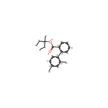 CCC(C)(CC)OC(=O)c1ccccc1-c1ccc(C)cc1C